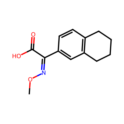 CON=C(C(=O)O)c1ccc2c(c1)CCCC2